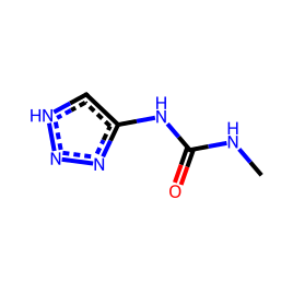 CNC(=O)Nc1c[nH]nn1